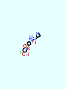 O=C(NCc1cccnc1)Nc1ccc(S(=O)(=O)N2CCC(O)(F)CC2)cc1